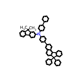 CC1(C)c2ccccc2-c2ccc(N(c3ccc(-c4ccccc4)cc3)c3ccc(-c4ccc5c6c(ccc5c4)C(c4ccccc4)(c4ccccc4)c4ccccc4-6)cc3)cc21